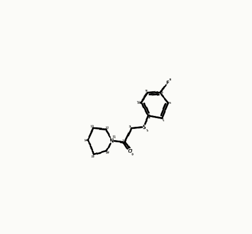 O=C(CSc1ccc(F)cc1)N1CCCCC1